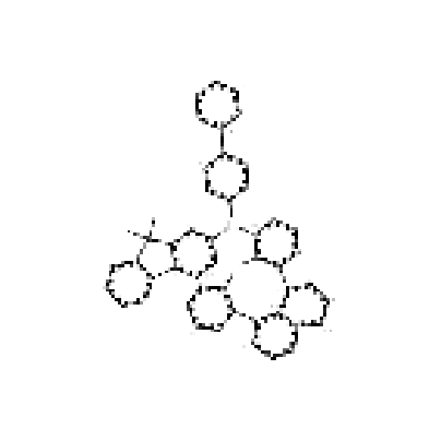 CC1(C)c2ccccc2-c2ccc(N(c3ccc(-c4ccccc4)cc3)c3cccc4c3Oc3ccccc3-c3cccc5cccc-4c35)cc21